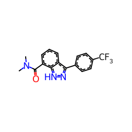 CN(C)C(=O)c1cccc2c(-c3ccc(C(F)(F)F)cc3)n[nH]c12